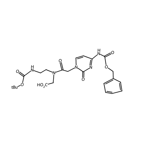 CC(C)(C)OC(=O)NCCN(CC(=O)O)C(=O)Cn1ccc(NC(=O)OCc2ccccc2)nc1=O